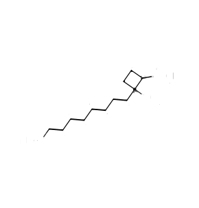 CCCCCCCCCCCCCCCCCCC1(C(=O)O)CCC1C(=O)O